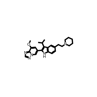 COc1cc(-c2[nH]c3ccc(CCN4CCCCC4)cc3c2C(C)C)cn2ncnc12